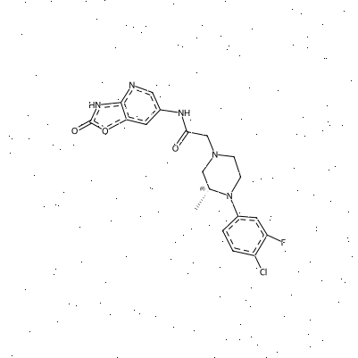 C[C@@H]1CN(CC(=O)Nc2cnc3[nH]c(=O)oc3c2)CCN1c1ccc(Cl)c(F)c1